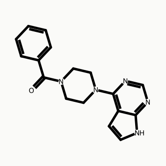 O=C(c1ccccc1)N1CCN(c2ncnc3[nH]ccc23)CC1